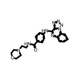 O=C(NCCN1CCOCC1)c1ccc(Nc2nc3ccccc3n3nnnc23)cc1